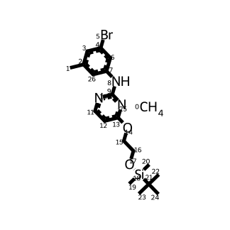 C.Cc1cc(Br)cc(Nc2nccc(OCCO[Si](C)(C)C(C)(C)C)n2)c1